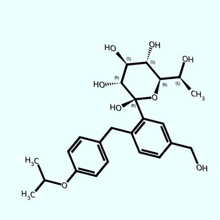 CC(C)Oc1ccc(Cc2ccc(CO)cc2[C@@]2(O)O[C@H]([C@H](C)O)[C@@H](O)[C@H](O)[C@H]2O)cc1